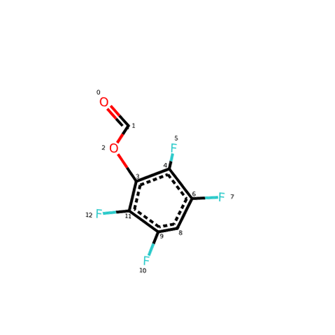 O=[C]Oc1c(F)c(F)cc(F)c1F